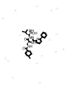 Cc1ccc(C(=O)NC[C@H](NC(=O)c2cccc(-c3ccccc3)n2)C(=O)N[C@@H](CC(C)C)B(O)O)cc1